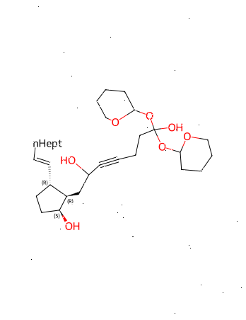 CCCCCCCC=C[C@H]1CC[C@H](O)[C@@H]1CC(O)C#CCCC(O)(OC1CCCCO1)OC1CCCCO1